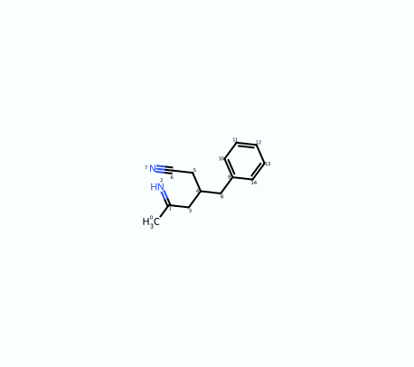 CC(=N)CC(CC#N)Cc1ccccc1